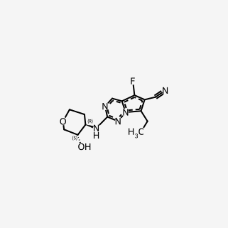 CCc1c(C#N)c(F)c2cnc(N[C@@H]3CCOC[C@H]3O)nn12